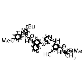 C#Cc1cc(Nc2nccc(Oc3ccc(NC(=O)Nc4cc(C(C)(C)C)nn4-c4ccc(OC)cc4)c4ccccc34)n2)cc(C(=O)N[C@@H](C)COC)c1